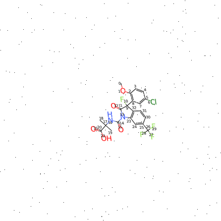 COc1ccc(Cl)cc1C1(F)C(=O)N(C(=O)NC(C)(C)C(=O)O)c2cc(C(F)(F)F)ccc21